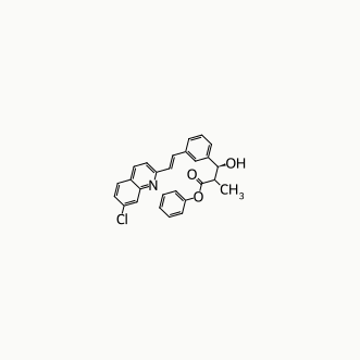 CC(C(=O)Oc1ccccc1)[C@H](O)c1cccc(/C=C/c2ccc3ccc(Cl)cc3n2)c1